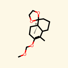 COCOC1=C(C)C2CCCC3(OCCO3)[C@]2(C)CC1